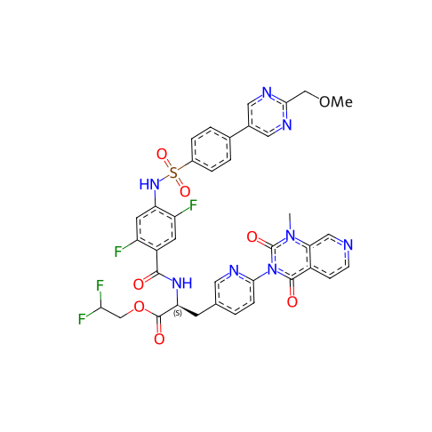 COCc1ncc(-c2ccc(S(=O)(=O)Nc3cc(F)c(C(=O)N[C@@H](Cc4ccc(-n5c(=O)c6ccncc6n(C)c5=O)nc4)C(=O)OCC(F)F)cc3F)cc2)cn1